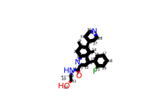 Cc1cc2nc(C(=O)N[C@@H](C)CO)cc(-c3ccccc3F)c2c(C)c1-c1ccncc1